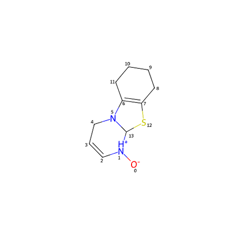 [O-][NH+]1C=CCN2C3=C(CCCC3)SC21